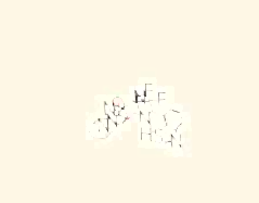 N#Cc1ccc(N2C3CCC2CN(C(=O)CCNC(c2cccc4ncsc24)C(F)(F)F)C3)nc1